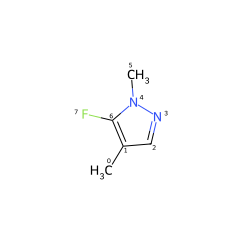 Cc1cnn(C)c1F